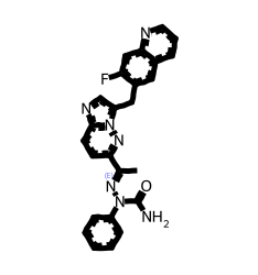 C/C(=N\N(C(N)=O)c1ccccc1)c1ccc2ncc(Cc3cc4cccnc4cc3F)n2n1